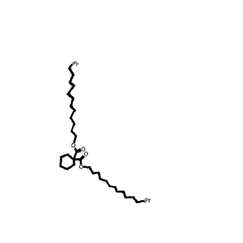 CC(C)CCCCCCCCCCCCOC(=O)C1(C(=O)OCCCCCCCCCCCCC(C)C)CCCCC1